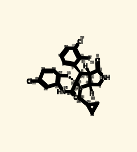 O=C1NC[C@H]2[C@@H]1[C@H](c1cccc(Cl)c1F)[C@@]1(Cc3ccc(Cl)cc3NC1=O)N2CC1CC1